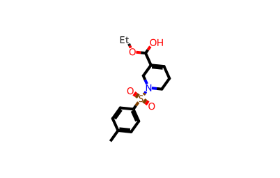 CCOC(O)C1=CCCN(S(=O)(=O)c2ccc(C)cc2)C1